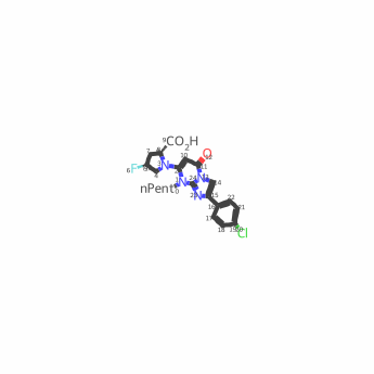 CCCCCn1c(N2C[C@@H](F)C[C@H]2C(=O)O)cc(=O)n2cc(-c3ccc(Cl)cc3)nc12